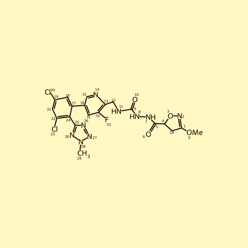 COC1=NOC(C(=O)NNC(=O)NCc2ncc(-c3cc(Cl)cc(Cl)c3-c3nnn(C)n3)cc2F)C1